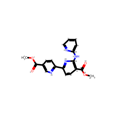 COC(=O)c1ccc(-c2ccc(C(=O)OC)c(Nc3ccccn3)n2)nc1